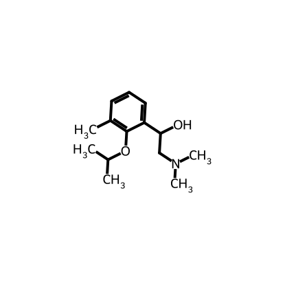 Cc1cccc(C(O)CN(C)C)c1OC(C)C